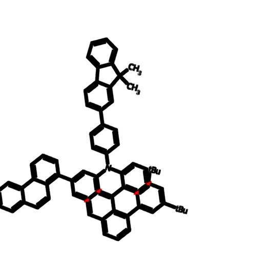 CC(C)(C)c1cc(-c2cccc3cccc(-c4ccccc4N(c4ccc(-c5ccc6c(c5)C(C)(C)c5ccccc5-6)cc4)c4cccc(-c5cccc6c5ccc5ccccc56)c4)c23)cc(C(C)(C)C)c1